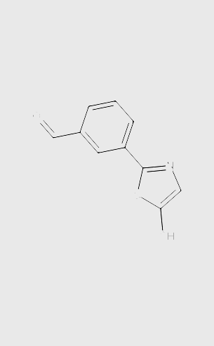 Cc1cnc(-c2cccc(C=O)c2)s1